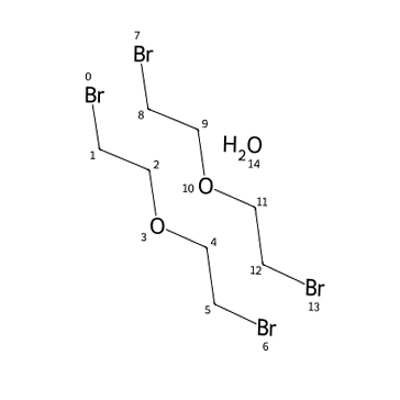 BrCCOCCBr.BrCCOCCBr.O